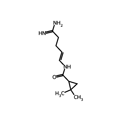 CC1(C)CC1C(=O)NC=CCCC(=N)N